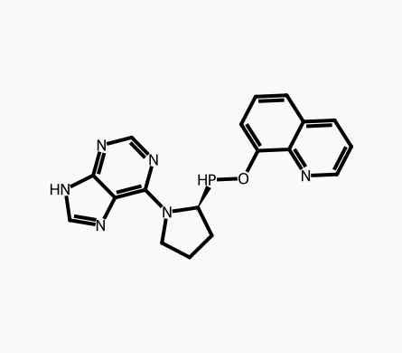 c1cnc2c(OP[C@H]3CCCN3c3ncnc4[nH]cnc34)cccc2c1